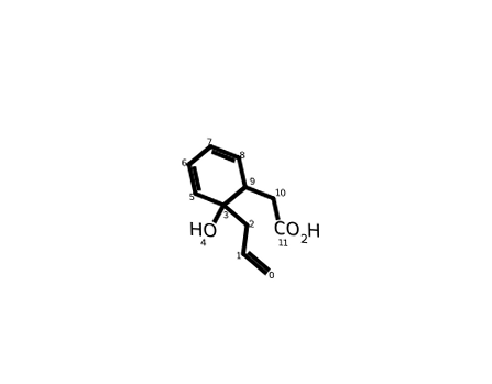 C=CCC1(O)C=CC=CC1CC(=O)O